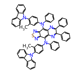 Cc1cc(N(c2ccccc2)c2c3nsnc3c(N(c3ccccc3)c3ccc(-n4c5ccccc5c5ccccc54)c(C)c3)c3nc(-c4ccccc4)c(-c4ccccc4)nc23)ccc1-n1c2ccccc2c2ccccc21